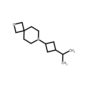 CC(C)C1CC(N2CCC3(CC2)COC3)C1